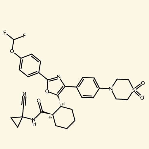 N#CC1(NC(=O)[C@@H]2CCCC[C@H]2c2oc(-c3ccc(OC(F)F)cc3)nc2-c2ccc(N3CCS(=O)(=O)CC3)cc2)CC1